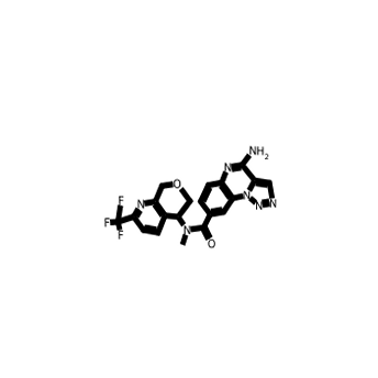 CN(C(=O)c1ccc2nc(N)c3cnnn3c2c1)C1COCc2nc(C(F)(F)F)ccc21